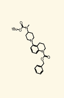 CN(C(=O)OC(C)(C)C)C1CCN(c2cccc3c2CCCN3C(=O)OCc2ccccc2)CC1